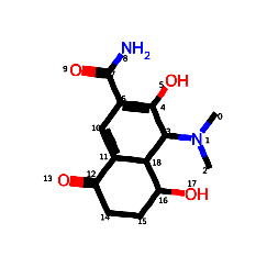 CN(C)C1C(O)=C(C(N)=O)C=C2C(=O)CCC(O)C21